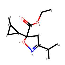 CCOC(=O)C1(C2CC2C)CC(C(C)C)=NO1